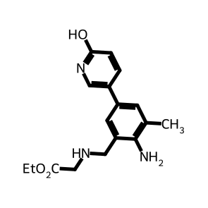 CCOC(=O)CNCc1cc(-c2ccc(O)nc2)cc(C)c1N